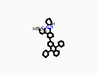 C=C(C#N)/C=C\C1=C(C)N2C(=N[C@H]3C=CC=CC32)c2ccc(-c3ccc4c(-c5ccccc5)c5ccccc5c(-c5ccccc5)c4c3)cc21